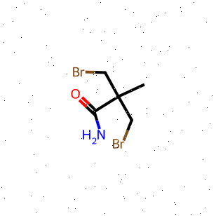 CC(CBr)(CBr)C(N)=O